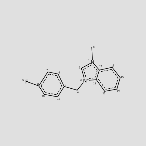 Cn1c[n+](Cc2ccc(F)cc2)c2ccccc21